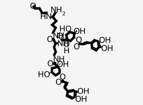 NCC(CCCCNC(=O)C(CCCNC(=O)[C@]1(O)C[C@@H](O)C[C@H](OC(=O)/C=C/c2ccc(O)c(O)c2)C1)NC(=O)[C@]1(O)C[C@@H](O)[C@@H](O)[C@H](OC(=O)/C=C/c2ccc(O)c(O)c2)C1)NCCCC=O